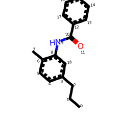 CCCc1ccc(C)c(NC(=O)c2ccccc2)c1